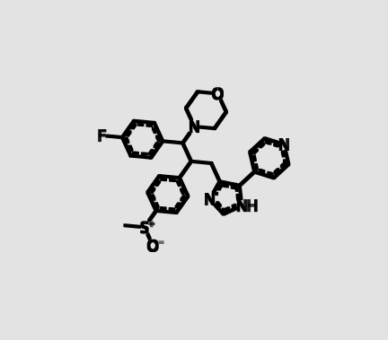 C[S+]([O-])c1ccc(C(Cc2nc[nH]c2-c2ccncc2)C(c2ccc(F)cc2)N2CCOCC2)cc1